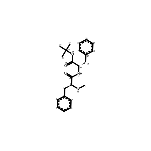 CN[C@@H](Cc1ccccc1)C(=O)N[C@@H](Cc1ccccc1)C(=O)OC(C)(C)C